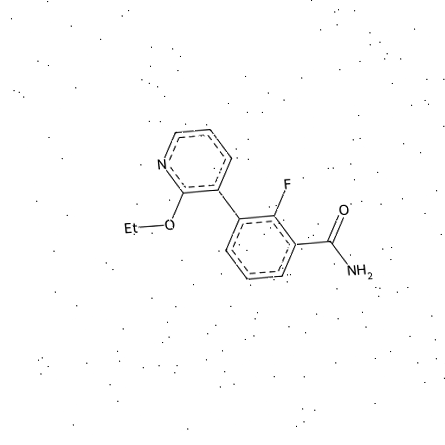 CCOc1ncccc1-c1cccc(C(N)=O)c1F